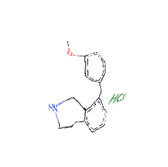 COc1cccc(-c2cccc3c2CNCC3)c1.Cl